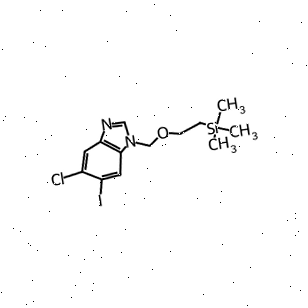 C[Si](C)(C)CCOCn1cnc2cc(Cl)c(I)cc21